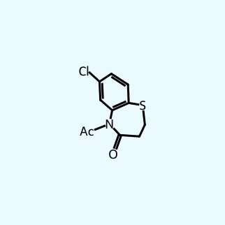 CC(=O)N1C(=O)CCSc2ccc(Cl)cc21